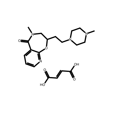 CN1CCN(CCC2CN(C)C(=O)c3cccnc3O2)CC1.O=C(O)C=CC(=O)O